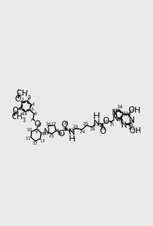 COc1ccc(CCO[C@@H]2CCCC[C@H]2N2CC[C@@H](OC(=O)NCCCCNC(=O)OCn3ncc4c(O)nc(O)nc43)C2)cc1OC